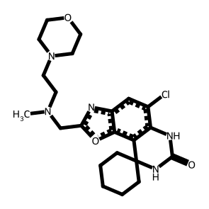 CN(CCN1CCOCC1)Cc1nc2cc(Cl)c3c(c2o1)C1(CCCCC1)NC(=O)N3